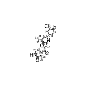 CC(C)(C)c1cc(-c2ccc(F)c(Cl)c2)nc2cc(C(=O)N3CCNC(=O)C3(C)C)oc12